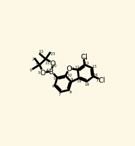 CC1(C)OB(c2cccc3c2oc2c(Cl)cc(Cl)cc23)OC1(C)C